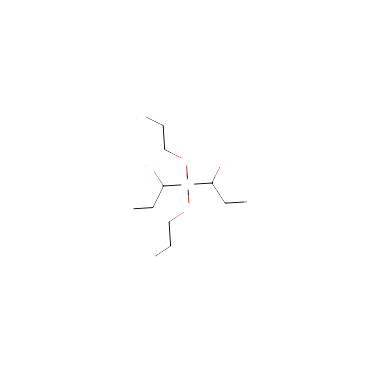 CCC[O][Zr]([O]CCC)([CH](O)CC)[CH](O)CC